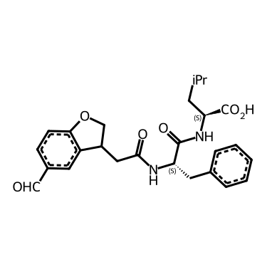 CC(C)C[C@H](NC(=O)[C@H](Cc1ccccc1)NC(=O)CC1COc2ccc(C=O)cc21)C(=O)O